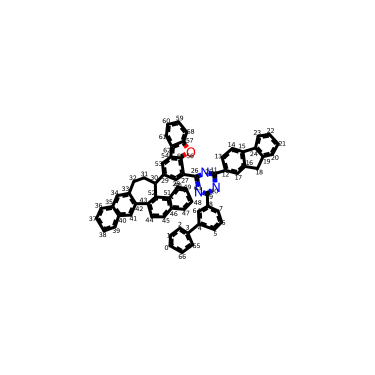 c1ccc(-c2cccc(-c3nc(-c4ccc5c(c4)Cc4ccccc4-5)nc(-c4cc(C5CCc6cc7ccccc7cc6-c6ccc7ccccc7c65)cc5c4oc4ccccc45)n3)c2)cc1